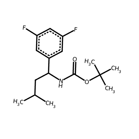 CC(C)CC(NC(=O)OC(C)(C)C)c1cc(F)cc(F)c1